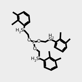 Cc1cccc([SiH2]COP(OC[SiH2]c2cccc(C)c2C)OC[SiH2]c2cccc(C)c2C)c1C